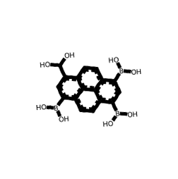 OB(O)c1cc(B(O)O)c2ccc3c(C(O)O)cc(B(O)O)c4ccc1c2c43